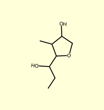 CCC(O)C1OCC(O)C1C